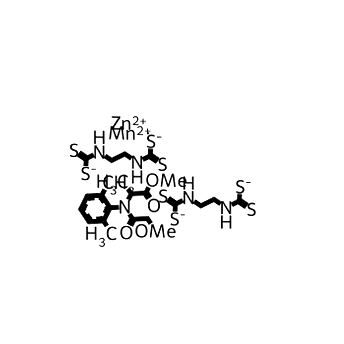 COCC(=O)N(c1c(C)cccc1C)C(C)C(=O)OC.S=C([S-])NCCNC(=S)[S-].S=C([S-])NCCNC(=S)[S-].[Mn+2].[Zn+2]